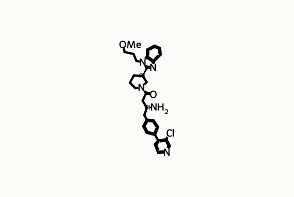 COCCCn1c([C@@H]2CCCN(C(=O)C[C@H](N)Cc3ccc(-c4ccncc4Cl)cc3)C2)nc2ccccc21